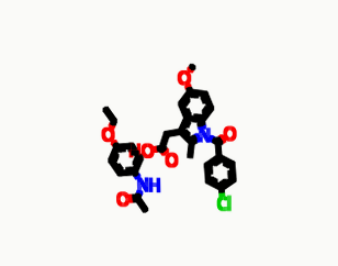 CCOc1ccc(NC(C)=O)cc1.COc1ccc2c(c1)c(CC(=O)O)c(C)n2C(=O)c1ccc(Cl)cc1